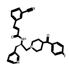 N#Cc1cccc(/C=C/C(=O)N[C@H](Cc2cccnc2)CN2CCC(C(=O)c3ccc(F)cc3)CC2)c1